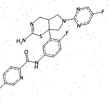 NC1=NCC2CN(c3ncc(F)cn3)CC2(c2cc(NC(=O)c3ccc(F)cn3)ccc2F)S1